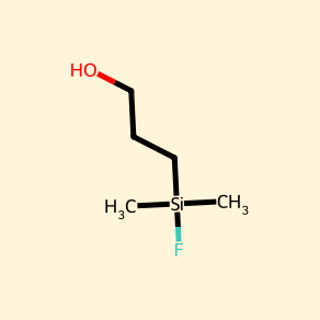 C[Si](C)(F)CCCO